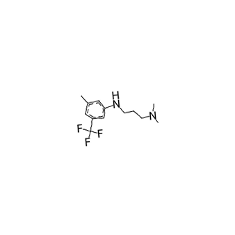 Cc1cc(NCCCN(C)C)cc(C(F)(F)F)c1